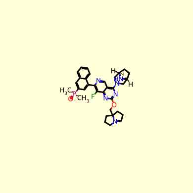 CP(C)(=O)c1cc(-c2ncc3c(N4C[C@H]5CC[C@@H](C4)N5)nc(OCC45CCCN4CCC5)nc3c2F)c2ccccc2c1